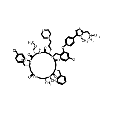 COC[C@@H]1NC(=O)[C@H](CCCN2CCOCC2)N(Cc2ccc(Cl)cc2Oc2ccc(-c3cnc(CN(C)C)n3C)cc2)C(=O)C[C@@H](Cc2ccccc2)C(=O)N(C)[C@@H](C)CNC(=O)C[C@H](Cc2ccc(Cl)cc2)N(C)C1=O